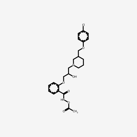 CC(=O)ONC(=O)c1ccccc1OCC(O)CN1CCCC(COc2ccc(Cl)cc2)C1